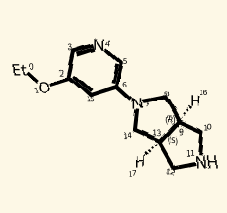 CCOc1cncc(N2C[C@H]3CNC[C@H]3C2)c1